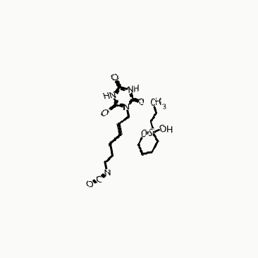 CCC[Si]1(O)CCCCO1.O=C=NCCCCCCn1c(=O)[nH]c(=O)[nH]c1=O